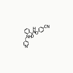 N#Cc1ccc(ONC(=O)c2ccccc2NCc2ccncc2)cc1